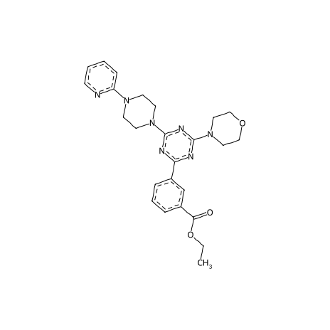 CCOC(=O)c1cccc(-c2nc(N3CCOCC3)nc(N3CCN(c4ccccn4)CC3)n2)c1